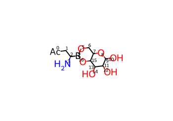 CC(=O)C[C@H](N)B1OCC2OC(O)C(O)C(O)C2O1